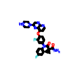 NC(=O)C1(C(=O)N(c2ccc(F)cc2)c2ccc(Oc3ccnc4ncc(N5CCNCC5)nc34)c(F)c2)CC1